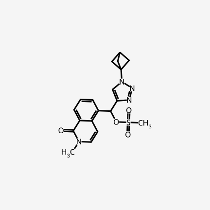 Cn1ccc2c(C(OS(C)(=O)=O)c3cn(C45CC(C4)C5)nn3)cccc2c1=O